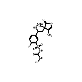 CCC1(CC(NC=O)c2ccc(F)c(S(=O)(=O)NC(=S)NC(C)C)c2)C(=O)NC=C1C